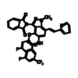 Cn1nc(N2C(=O)c3ccccc3C2=O)c2c(Oc3cc(F)ccc3Cl)c(NC(=O)c3cc(F)cc(C(F)(F)F)c3)cc(/C=C/c3ccccn3)c21